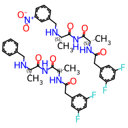 C[C@H](NCc1cccc([N+](=O)[O-])c1)C(=O)NC(=O)[C@H](C)NC(=O)Cc1cc(F)cc(F)c1.C[C@H](NCc1ccccc1)C(=O)NC(=O)[C@H](C)NC(=O)Cc1cc(F)cc(F)c1